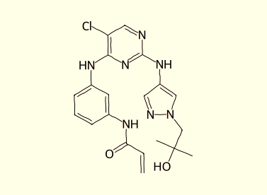 C=CC(=O)Nc1cccc(Nc2nc(Nc3cnn(CC(C)(C)O)c3)ncc2Cl)c1